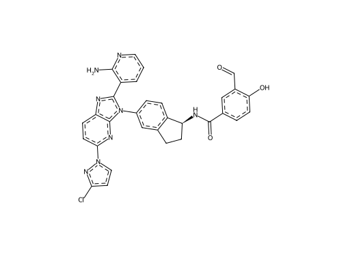 Nc1ncccc1-c1nc2ccc(-n3ccc(Cl)n3)nc2n1-c1ccc2c(c1)CC[C@@H]2NC(=O)c1ccc(O)c(C=O)c1